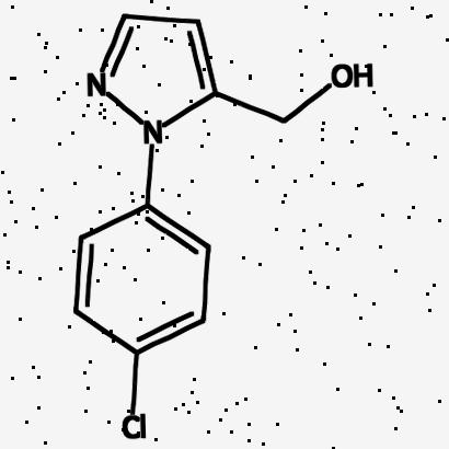 OCc1ccnn1-c1ccc(Cl)cc1